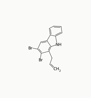 C=CCc1c(Br)c(Br)cc2c1[nH]c1ccccc12